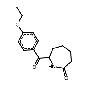 CCOc1ccc(C(=O)C2CCCCC(=O)N2)cc1